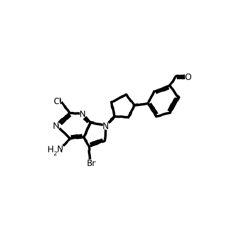 Nc1nc(Cl)nc2c1c(Br)cn2C1CCC(c2cccc(C=O)c2)C1